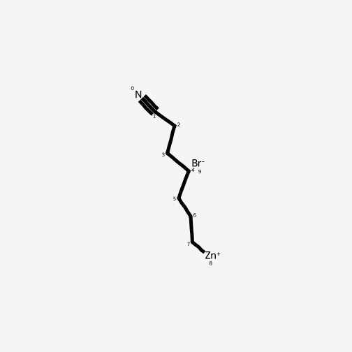 N#CCCCCC[CH2][Zn+].[Br-]